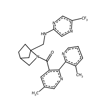 Cc1cnc(-c2ncccc2C)c(C(=O)N2CC3CCC2(CNc2cnc(C(F)(F)F)cn2)C3)c1